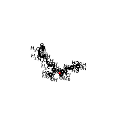 COc1ccc2c(OS(=O)(=O)Oc3cc(C(=O)N(C)CC(C)(C)COCC(C)(C)CN4C=C(CC(C)(C)COCC(C)(C)CN5C(=O)C=CC5=O)NN4)ccc3O[C@H]3CC(O)[C@@H](O)[C@@H](CO)O3)cc3c(c2c1)C(CCl)CN3C(=O)c1cc2ccc(O[C@@H]3O[C@H](CO)[C@H](O)[C@H](O)[C@H]3O)cc2[nH]1